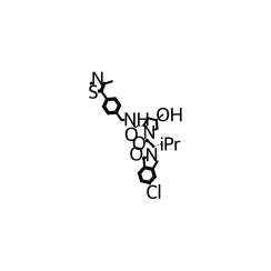 Cc1ncsc1-c1ccc(CNC(=O)[C@@H]2C[C@@H](O)CN2C(=O)[C@H](C(C)C)N2Cc3cc(Cl)ccc3C2=O)cc1